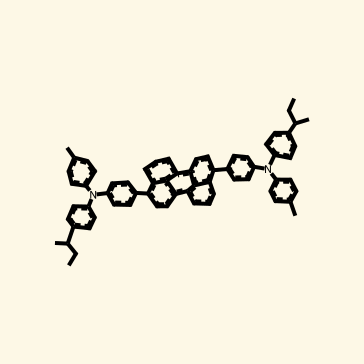 CCC(C)c1ccc(N(c2ccc(C)cc2)c2ccc(-c3ccc4c5cccc6c(-c7ccc(N(c8ccc(C)cc8)c8ccc(C(C)CC)cc8)cc7)ccc(c7cccc3c74)c65)cc2)cc1